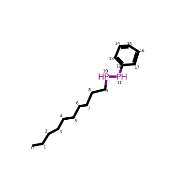 CCCCCCCCCCPPc1ccccc1